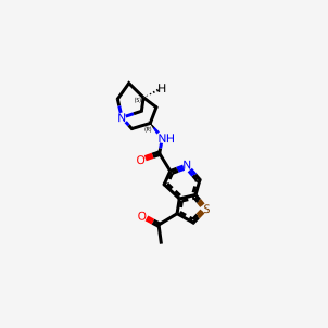 CC(=O)c1csc2cnc(C(=O)N[C@@H]3C[C@@H]4CCN(C4)C3)cc12